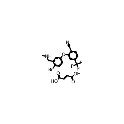 CNCc1cc(Oc2cc(C(F)(F)F)ccc2C#N)ccc1Br.O=C(O)C=CC(=O)O